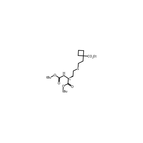 CCOC(=O)C1(CCSCC[C@H](NC(=O)OC(C)(C)C)C(=O)OC(C)(C)C)CCC1